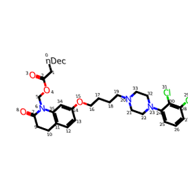 CCCCCCCCCCCC(=O)OCN1C(=O)CCc2ccc(OCCCCN3CCN(c4cccc(Cl)c4Cl)CC3)cc21